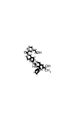 CC(O)c1cc2cnc(Nc3ccc4c(n3)CCN(C(=O)C3CN(CCO)CCO3)C4)nc2c(N2C3CCC2CC3)n1